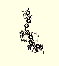 COc1cc(N2CCN(CC3CCN(c4ccc5c(c4)C(=O)N(C4CCC(=O)NC4=O)C5=O)CC3)CC2)c(C)cc1Nc1ncc(Br)c(Nc2ccc3nccnc3c2P(C)(C)=O)n1.O=C(O)C(F)(F)F